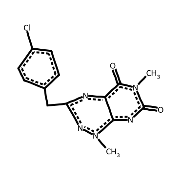 Cn1nc(Cc2ccc(Cl)cc2)nc2c(=O)n(C)c(=O)nc1-2